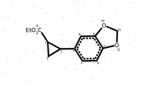 CCOC(=O)C1CC1c1ccc2c(c1)OCO2